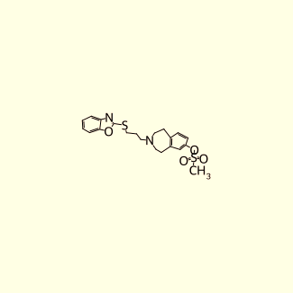 CS(=O)(=O)Oc1ccc2c(c1)CCN(CCCSc1nc3ccccc3o1)CC2